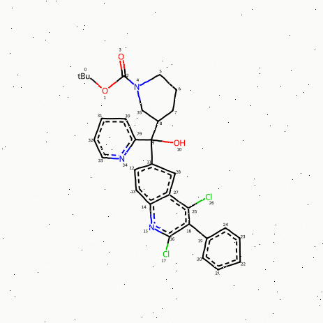 CC(C)(C)OC(=O)N1CCCC(C(O)(c2ccc3nc(Cl)c(-c4ccccc4)c(Cl)c3c2)c2ccccn2)C1